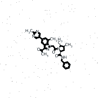 CC(=O)c1nn(CC(=O)N2[C@H](C)[C@@H](C)C[C@H]2C(=O)NCc2ccccc2)c2c(C)cc(-c3cnc(C)nc3)cc12